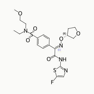 CCN(CCOC)S(=O)(=O)c1ccc(/C(=N\O[C@@H]2CCOC2)C(=O)Nc2ncc(F)s2)cc1